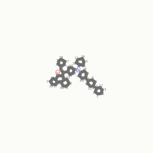 c1ccc(-c2ccc(-c3ccc(N(c4ccccc4)c4ccc(-c5c(-c6ccccc6)oc6c7ccccc7c7ccccc7c56)cc4)cc3)cc2)cc1